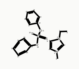 CCn1cc[n+](C)c1.S=P([S-])(Oc1ccccc1)Oc1ccccc1